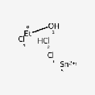 CCO.Cl.[Cl-].[Cl-].[Sn+2]